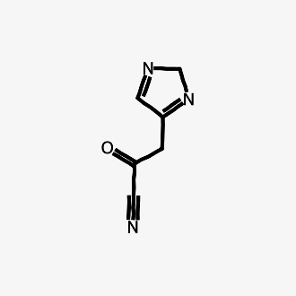 N#CC(=O)CC1=NCN=C1